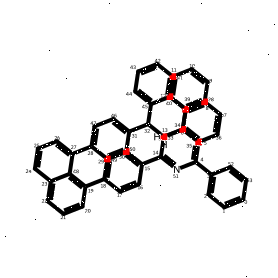 c1ccc(C2=NC(c3ccccc3)NC(c3ccc(-c4cccc5cccc(-c6ccc(C7Nc8ccccc8-c8ccccc87)cc6)c45)cc3)=N2)cc1